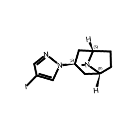 CN1[C@@H]2CC[C@H]1C[C@H](n1cc(I)cn1)C2